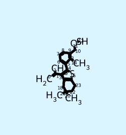 C=C(C)c1c(-c2cccc(COS)c2C)sc2c1CC(C)(C)CC2